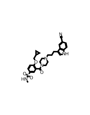 CNS(=O)(=O)c1ccc(OCC2CC2)c(C(=O)N2CCN(CCCc3c[nH]c4ccc(C#N)cc34)CC2)c1